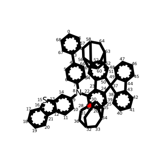 c1ccc(-c2ccc(N(c3ccc4c(c3)sc3ccccc34)c3c4c(cc5c3C3CC6CC(CC5C6)C3)C3(c5ccccc5-c5ccccc53)c3cc5c(cc3-4)C3CC4CC(C3)CC5C4)cc2)cc1